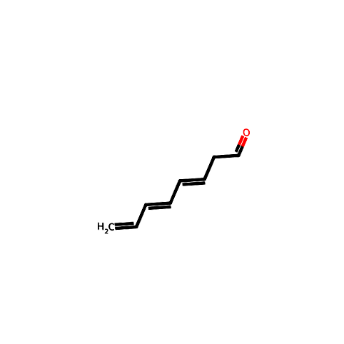 C=C/C=C/C=C/CC=O